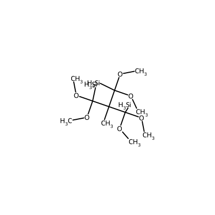 COC([SiH3])(OC)C(C)(C([SiH3])(OC)OC)C([SiH3])(OC)OC